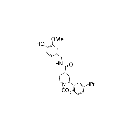 COc1cc(CNC(=O)C2CCN(C(=O)O)C(c3cccc(C(C)C)c3)C2)ccc1O